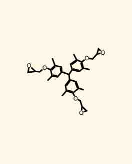 Cc1cc(C(c2cc(C)c(OCC3CO3)c(C)c2)c2cc(C)c(OCC3CO3)c(C)c2)cc(C)c1OCC1CO1